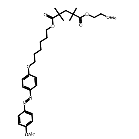 COCCOC(=O)C(C)(C)CC(C)(C)C(=O)OCCCCCCOc1ccc(N=Nc2ccc(OC)cc2)cc1